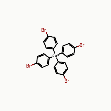 Brc1cc[c]([Ge]([c]2ccc(Br)cc2)([c]2ccc(Br)cc2)[c]2ccc(Br)cc2)cc1